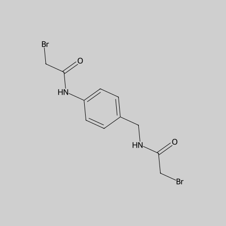 O=C(CBr)NCc1ccc(NC(=O)CBr)cc1